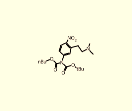 CCCCOC(=O)N(C(=O)OC(C)(C)C)c1ccc([N+](=O)[O-])c(CCN(C)C)c1